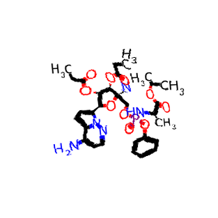 CCC(=O)O[C@H]1[C@H](c2ccc3c(N)ccnn23)O[C@](C#N)(CO[P@@](=O)(N[C@@H](C)C(=O)OC(C)C)Oc2ccccc2)[C@H]1OC(=O)CC